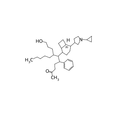 CCCCCC(CCCO)C(C(CCC(C)=O)c1ccccc1)C1CCC(C2CCN(C3CC3)C2)[C@@H]2CCC12